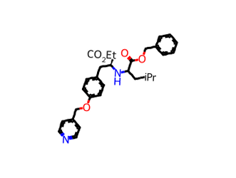 CCOC(=O)[C@H](Cc1ccc(OCc2ccncc2)cc1)NC(CC(C)C)C(=O)OCc1ccccc1